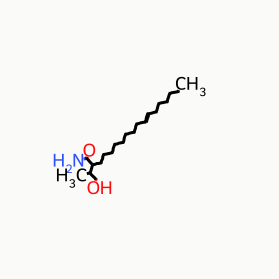 CCCCCCC=CCCCCCCCCC(C(N)=O)C(C)CO